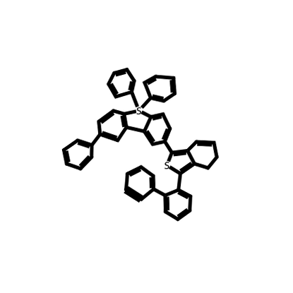 c1cccc(-c2ccccc2-c2sc(-c3ccc4c(c3)-c3cc(-c5ccccc5)ccc3S4(c3ccccc3)c3ccccc3)c3c2CCC=C3)c#1